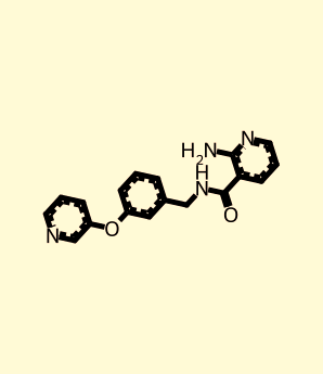 Nc1ncccc1C(=O)NCc1cccc(Oc2cccnc2)c1